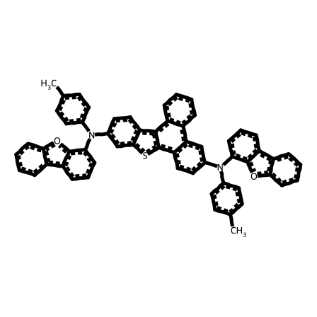 Cc1ccc(N(c2ccc3c(c2)sc2c4ccc(N(c5ccc(C)cc5)c5cccc6c5oc5ccccc56)cc4c4ccccc4c32)c2cccc3c2oc2ccccc23)cc1